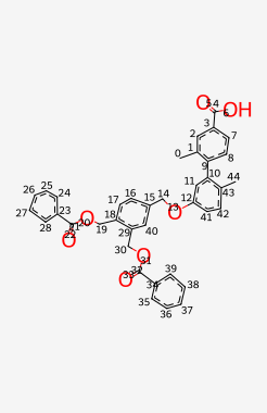 Cc1cc(C(=O)O)ccc1-c1cc(OCc2ccc(COC(=O)c3ccccc3)c(COC(=O)c3ccccc3)c2)ccc1C